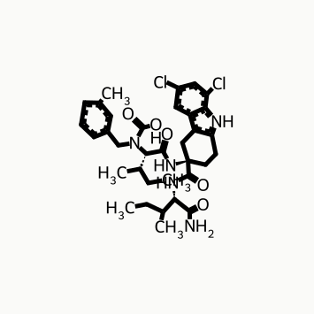 CCC(C)[C@H](NC(=O)[C@@]1(NC(=O)[C@H](C(C)CC)N(Cc2cccc(C)c2)C(=O)O)CCc2[nH]c3c(Cl)cc(Cl)cc3c2C1)C(N)=O